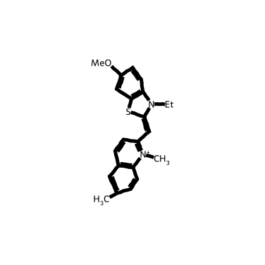 CCN1/C(=C/c2ccc3cc(C)ccc3[n+]2C)Sc2cc(OC)ccc21